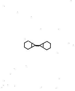 C1CCC2C(=C3C4CCCCC34)C2C1